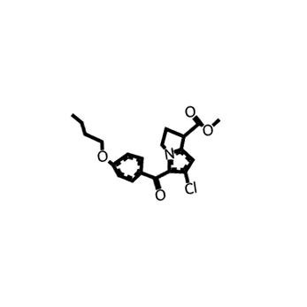 CCCCOc1ccc(C(=O)c2c(Cl)cc3n2CCC3C(=O)OC)cc1